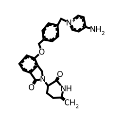 C=C1CCC(N2Cc3c(OCc4ccc(C[n+]5ccc(N)cc5)cc4)cccc3C2=O)C(=O)N1